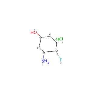 Cl.NC1CC(O)CCC1F